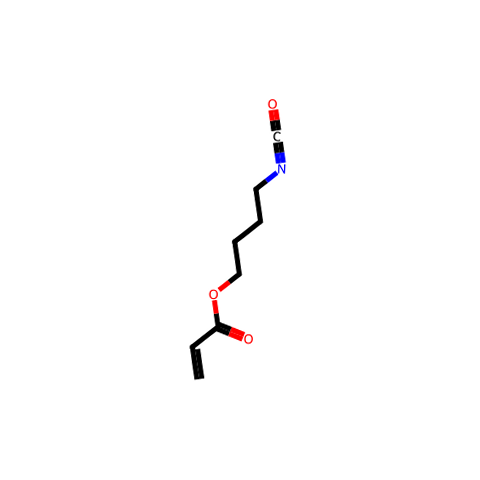 C=CC(=O)OCCCCN=C=O